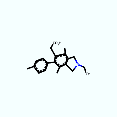 Cc1ccc(-c2c(C)c3c(c(C)c2CC(=O)O)CN(CC(C)C)C3)cc1